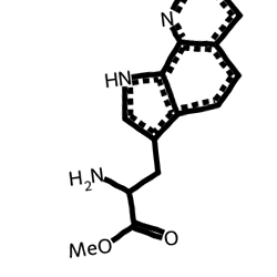 COC(=O)C(N)Cc1c[nH]c2c1ccc1cccnc12